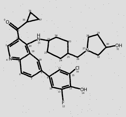 O=C(c1cnc2ccc(-c3cc(F)c(O)c(Cl)c3)cc2c1NC1CCC(CN2CCC(O)C2)CC1)C1CC1